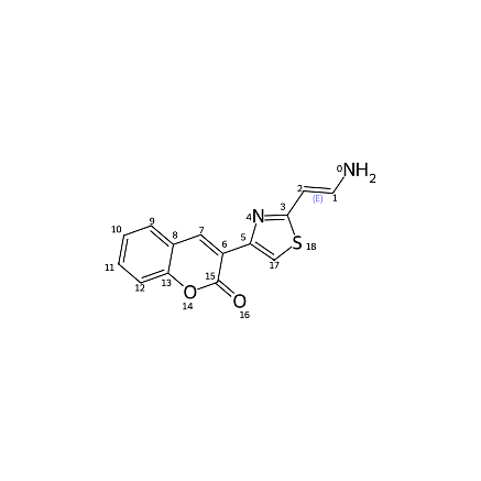 N/C=C/c1nc(-c2cc3ccccc3oc2=O)cs1